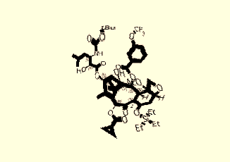 CC[Si](CC)(CC)OC1C[C@H]2OC[C@@]2(OC(C)=O)[C@H]2[C@H](OC(=O)c3cccc(OC(F)(F)F)c3)[C@]3(O)C[C@H](OC(=O)[C@H](O)[C@H](C=C(C)C)NC(=O)OC(C)(C)C)C(C)=C([C@@H](OC(=O)C4CC4)C(=O)[C@]12C)C3(C)C